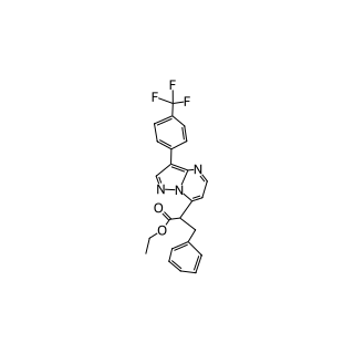 CCOC(=O)C(Cc1ccccc1)c1ccnc2c(-c3ccc(C(F)(F)F)cc3)cnn12